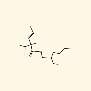 CC=CC(C)(C(=O)OCC(CC)CCCC)C(C)C